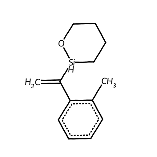 C=C(c1ccccc1C)[SiH]1CCCCO1